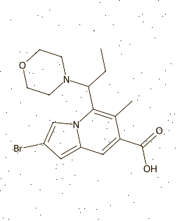 CCC(c1c(C)c(C(=O)O)cc2cc(Br)cn12)N1CCOCC1